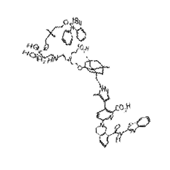 Cc1c(-c2ccc(N3CCc4cccc(C(=O)Nc5nc6ccccc6s5)c4C3)nc2C(=O)O)cnn1CC12CC3(C)CC(C)(C1)CC(OCCN(CCNCC[SH2](O)(O)OCC(C)(C)CCO[Si](c1ccccc1)(c1ccccc1)C(C)(C)C)CCS(=O)(=O)O)(C3)C2